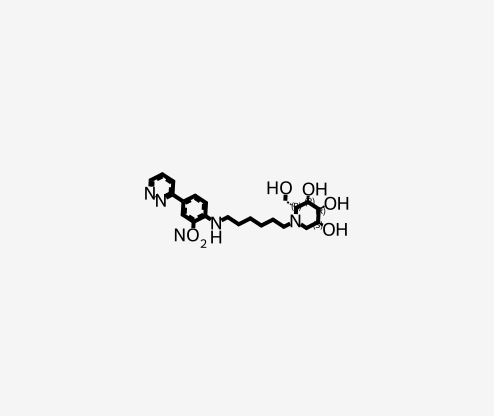 O=[N+]([O-])c1cc(-c2cccnn2)ccc1NCCCCCCN1C[C@H](O)[C@@H](O)[C@H](O)[C@H]1CO